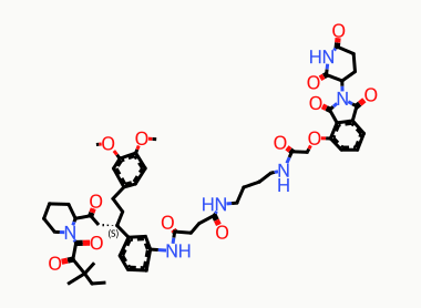 CCC(C)(C)C(=O)C(=O)N1CCCCC1C(=O)C[C@H](CCc1ccc(OC)c(OC)c1)c1cccc(NC(=O)CCC(=O)NCCCCNC(=O)COc2cccc3c2C(=O)N(C2CCC(=O)NC2=O)C3=O)c1